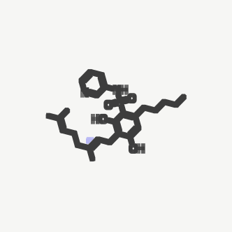 CCCCCc1cc(O)c(C/C=C(\C)CCC=C(C)C)c(O)c1S(=O)(=O)Nc1cccnc1